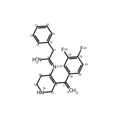 C=C(C1=C(/N=C(\N)Cc2ccccc2)CCNC1)c1ccc(F)c(F)c1